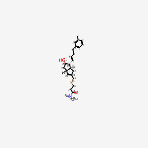 Cc1cccc(CC/C=C/[C@@H]2[C@H]3CC(CSCCC(=O)N(C)C(C)(C)C)=C[C@H]3C[C@H]2O)c1